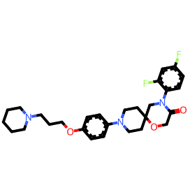 O=C1COC2(CCN(c3ccc(OCCCN4CCCCC4)cc3)CC2)CN1c1ccc(F)cc1F